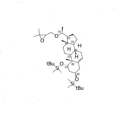 C[C@H](OCC1OC1(C)C)[C@H]1CC[C@H]2[C@@H]3CC=C4C[C@@H](O[Si](C)(C)C(C)(C)C)C[C@H](O[Si](C)(C)C(C)(C)C)[C@]4(C)[C@H]3CC[C@]12C